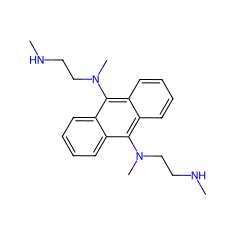 CNCCN(C)c1c2ccccc2c(N(C)CCNC)c2ccccc12